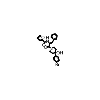 O=C(NC(=Cc1ccccc1)C(=O)N1CCC(O)(c2ccc(Br)cc2)CC1)c1ccco1